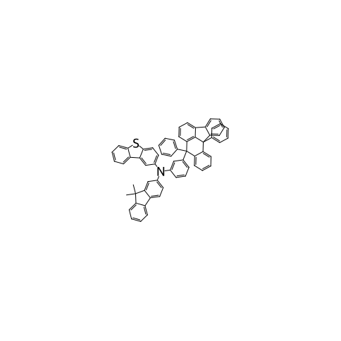 CC1(C)c2ccccc2-c2ccc(N(c3cccc(C4(c5ccccc5)c5ccccc5C5(c6ccccc6)c6ccccc6-c6cccc4c65)c3)c3ccc4sc5ccccc5c4c3)cc21